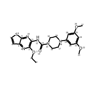 CCOc1nc2ccsc2nc1NC(=O)N1CCN(c2cc(OC)cc(OC)c2)CC1